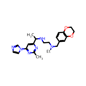 CCN(CCNC(C)c1cc(-n2ccnc2)nc(C)n1)Cc1ccc2c(c1)OCCO2